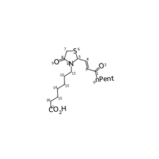 CCCCCC(=O)C=CC1SCC(=O)N1CCCCCCC(=O)O